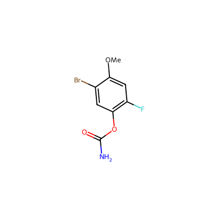 COc1cc(F)c(OC(N)=O)cc1Br